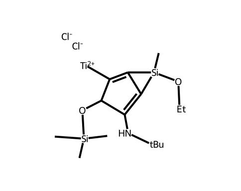 CCO[Si]1(C)C2=[C]([Ti+2])C(O[Si](C)(C)C)C(NC(C)(C)C)=C21.[Cl-].[Cl-]